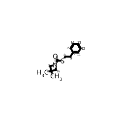 CC1(C)CN(C(=O)SCCc2ccccc2)C1